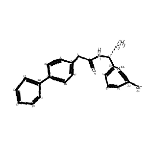 C[C@@H](NC(=O)Cc1ccc(-c2ccccc2)cc1)c1cccc(Br)n1